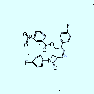 O=C(OCC(/C=C\C1CN(c2ccc(F)cc2)C1=O)c1ccc(F)cc1)c1cccc([N+](=O)[O-])c1